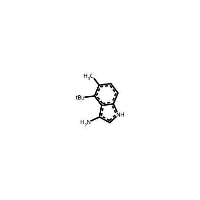 Cc1ccc2[nH]cc(N)c2c1C(C)(C)C